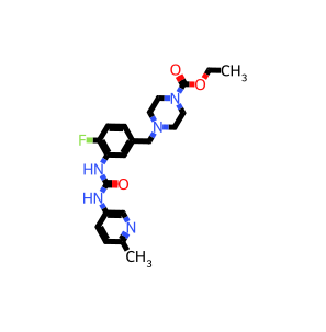 CCOC(=O)N1CCN(Cc2ccc(F)c(NC(=O)Nc3ccc(C)nc3)c2)CC1